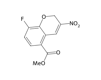 COC(=O)c1ccc(F)c2c1C=C([N+](=O)[O-])CO2